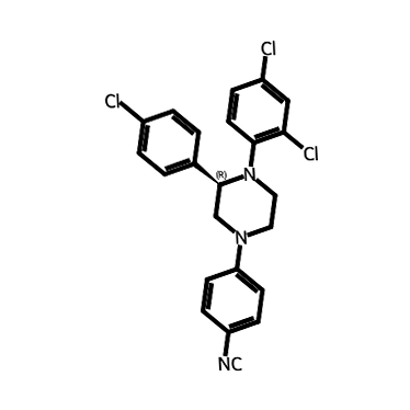 [C-]#[N+]c1ccc(N2CCN(c3ccc(Cl)cc3Cl)[C@H](c3ccc(Cl)cc3)C2)cc1